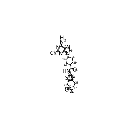 Nc1nc(Cl)nc2c1ncn2[C@H]1CC[C@@H](C(=O)Nc2nc3c(s2)CS(=O)(=O)CC3)CC1